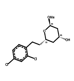 CO[C@H]1C[C@H](O)C[C@H](CCc2ccc(Cl)cc2Cl)O1